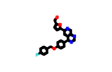 O=Cc1ccc(-c2cc3c(-c4ccc(OCc5ccc(F)cc5)cc4)ncnc3cn2)o1